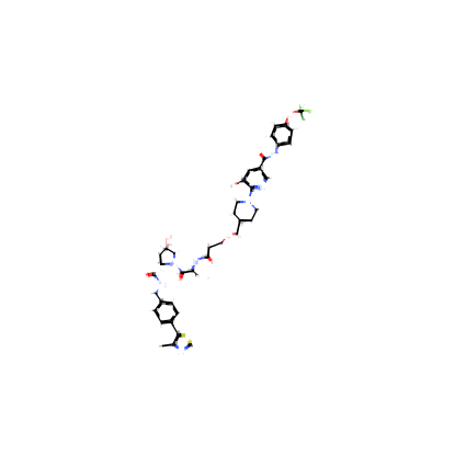 Cc1ncsc1-c1ccc(CNC(=O)[C@@H]2C[C@@H](O)CN2C(=O)C(NC(=O)CCOCC2CCN(c3ncc(C(=O)Nc4ccc(OC(F)(F)Cl)cc4)cc3Br)CC2)C(C)(C)C)cc1